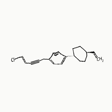 C=C[C@H]1CC[C@H](c2ccc(C#CC=CCl)cc2)CC1